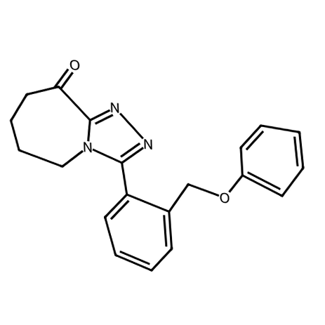 O=C1CCCCn2c1nnc2-c1ccccc1COc1ccccc1